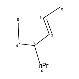 CC=CC(CI)CCC